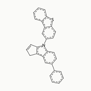 C1=Cc2c(c3cc(-c4ccccc4)ccc3n2-c2ccc3sc4ccccc4c3c2)C1